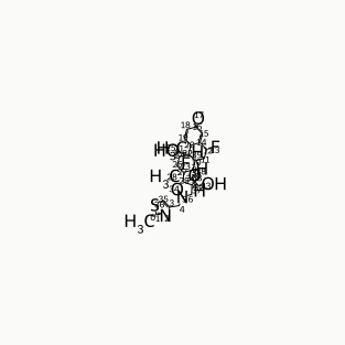 Cc1nc(CN2C[C@@H]3C[C@H]4[C@@H]5C[C@H](F)C6=CC(=O)C=C[C@]6(C)[C@@]5(F)[C@@H](O)C[C@]4(C)[C@]3(C(=O)CO)O2)cs1